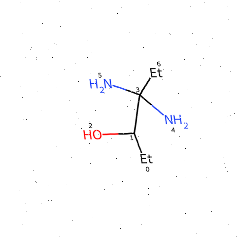 CCC(O)C(N)(N)CC